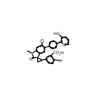 CC(C)c1ccc(C2CC23C(=O)N(C)c2cc(Cl)c(-c4ccc(-c5ncccc5O)cc4)cc23)cc1C(=O)O